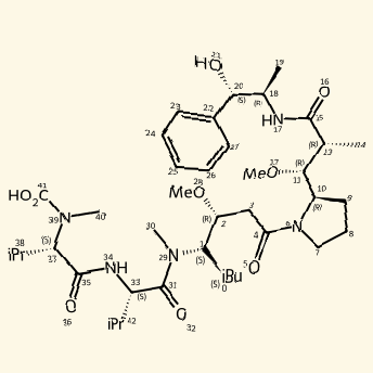 CC[C@H](C)[C@@H]([C@@H](CC(=O)N1CCC[C@@H]1[C@H](OC)[C@@H](C)C(=O)N[C@H](C)[C@@H](O)c1ccccc1)OC)N(C)C(=O)[C@@H](NC(=O)[C@H](C(C)C)N(C)C(=O)O)C(C)C